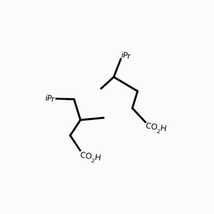 CC(C)C(C)CCC(=O)O.CC(C)CC(C)CC(=O)O